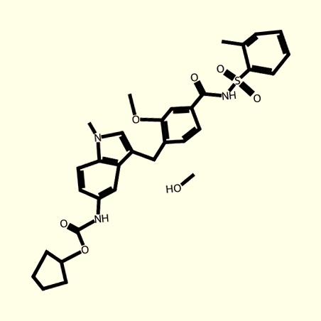 CO.COc1cc(C(=O)NS(=O)(=O)c2ccccc2C)ccc1Cc1cn(C)c2ccc(NC(=O)OC3CCCC3)cc12